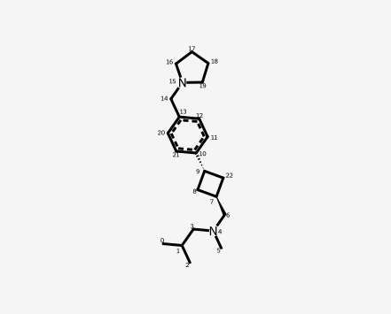 CC(C)CN(C)C[C@H]1C[C@H](c2ccc(CN3CCCC3)cc2)C1